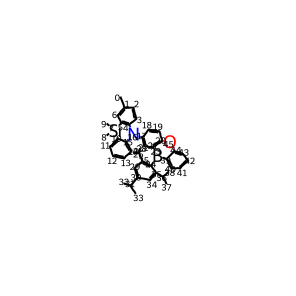 Cc1ccc2c(c1)[Si](C)(C)c1ccccc1N2c1ccc2c(c1)B(c1c(C(C)C)cc(C(C)C)cc1C(C)C)c1ccccc1O2